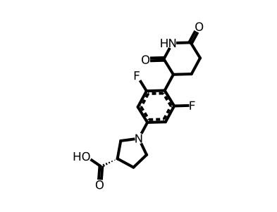 O=C1CCC(c2c(F)cc(N3CC[C@H](C(=O)O)C3)cc2F)C(=O)N1